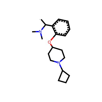 [CH2]C(c1ccccc1OC1CCN(C2CCC2)CC1)N(C)C